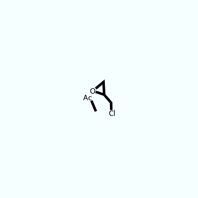 CC(C)=O.ClCC1CO1